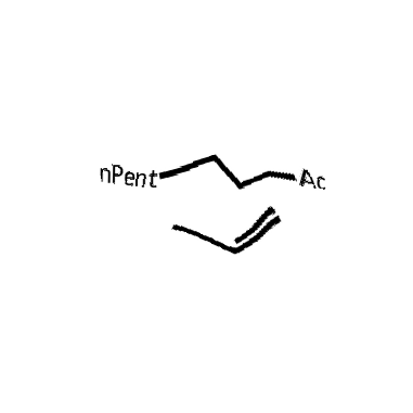 C=CC.CCCCCCCC(C)=O